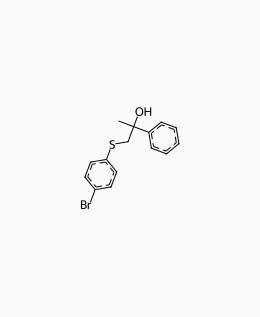 CC(O)(CSc1ccc(Br)cc1)c1ccccc1